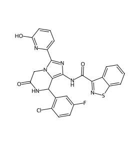 O=C1Cn2c(-c3cccc(O)n3)nc(NC(=O)c3nsc4ccccc34)c2C(c2cc(F)ccc2Cl)N1